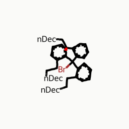 CCCCCCCCCCCCc1ccccc1C(Br)(c1ccccc1CCCCCCCCCCCC)c1ccccc1CCCCCCCCCCCC